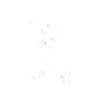 CCCc1nc2c(NC(=O)CCCCCN(C)[C@H]3CC[C@@H](N(C)C)CC3)nc3ccccc3c2s1